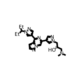 CCC(CC)n1cc(-c2nc(-c3cnn(C[C@@H](O)CN(C)C)c3)cn3nccc23)cn1